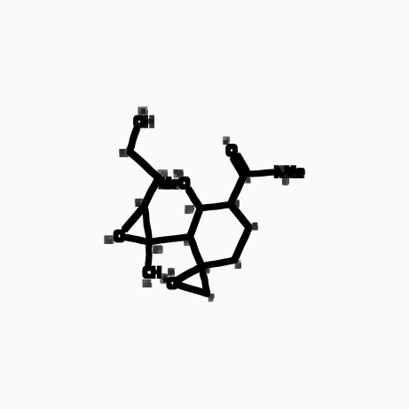 CNC(=O)C1CCC2(CO2)C(C2(C)OC2CCO)C1OC